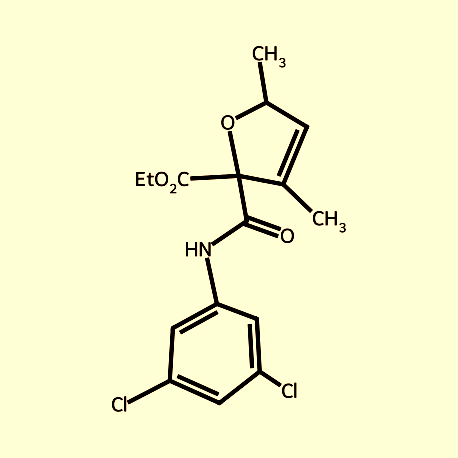 CCOC(=O)C1(C(=O)Nc2cc(Cl)cc(Cl)c2)OC(C)C=C1C